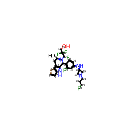 CC1Cc2c([nH]c3ccsc23)C(c2c(F)cc(NC3CN(CCCF)C3)cc2F)N1CC(F)(F)CO